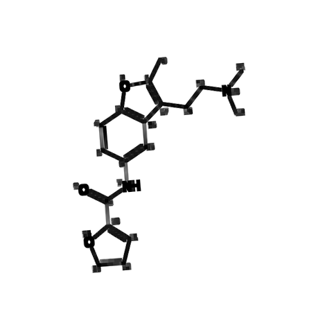 Cc1oc2ccc(NC(=O)c3ccco3)cc2c1CCN(C)C